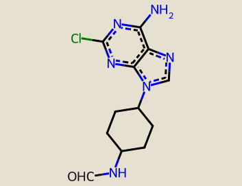 Nc1nc(Cl)nc2c1ncn2C1CCC(NC=O)CC1